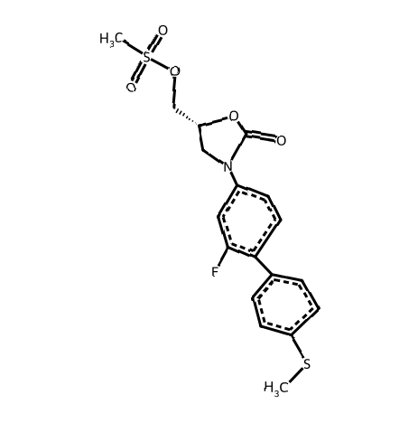 CSc1ccc(-c2ccc(N3C[C@H](COS(C)(=O)=O)OC3=O)cc2F)cc1